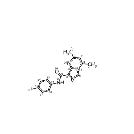 Cc1cc(C)n2cnc(C(=O)Nc3ccc(I)cc3)c2n1